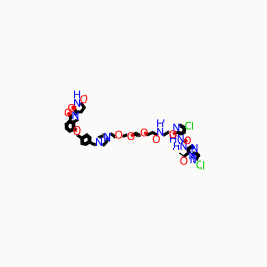 CO[C@@H](C)c1c(NC(=O)Nc2cc(Cl)cnc2OCCNC(=O)CCOCCOCCOCCN2CCN(Cc3ccc(COc4cccc5c4CN(C4CCC(=O)NC4=O)C5=O)cc3)CC2)cnc2cc(Cl)nn12